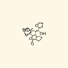 CCOC(=O)/C(=C(/O)c1ccco1)c1c(-c2ccccn2)oc(=O)c2ccccc12